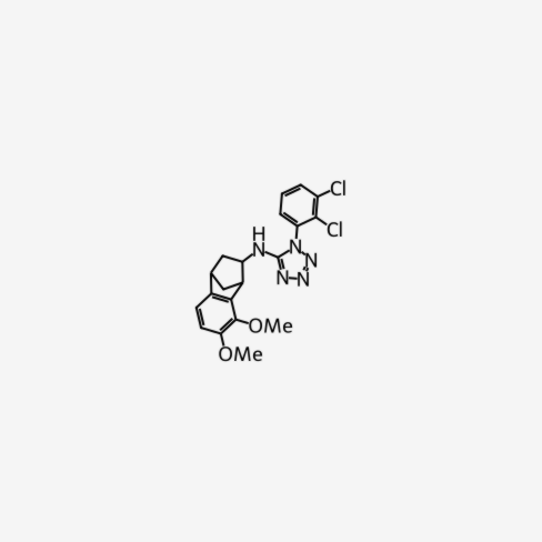 COc1ccc2c(c1OC)C1CC2CC1Nc1nnnn1-c1cccc(Cl)c1Cl